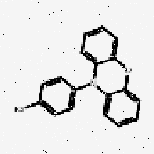 CCC(C)c1ccc(N2c3ccccc3Oc3ccccc32)cc1